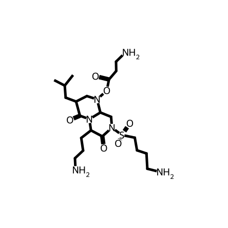 CC(C)CC1CN(OC(=O)CCN)C2CN(S(=O)(=O)CCCCN)C(=O)C(CCCN)N2C1=O